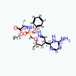 CC(C)OC(=O)[C@H](C)NP(=O)(CO[C@H](C)C/C(C=N)=C1\N=CN=C(N)N1)Oc1ccccc1